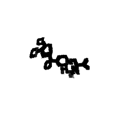 CC(C)C(N)CN1CCC(C(=O)c2ccc(Cl)c(Cl)c2)CC1